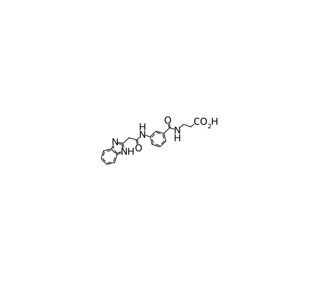 O=C(O)CCNC(=O)c1cccc(NC(=O)Cc2nc3ccccc3[nH]2)c1